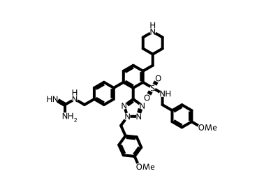 COc1ccc(CNS(=O)(=O)c2c(CC3CCNCC3)ccc(-c3ccc(CNC(=N)N)cc3)c2-c2nnn(Cc3ccc(OC)cc3)n2)cc1